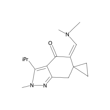 CC(C)c1c2c(nn1C)CC1(CC1)/C(=C/N(C)C)C2=O